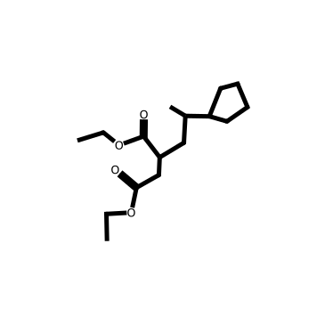 CCOC(=O)CC(CC(C)C1CCCC1)C(=O)OCC